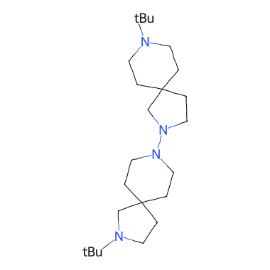 CC(C)(C)N1CCC2(CCN(N3CCC4(CC3)CCN(C(C)(C)C)C4)C2)CC1